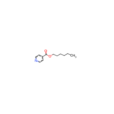 CCCCCCOC(=O)c1ccncc1